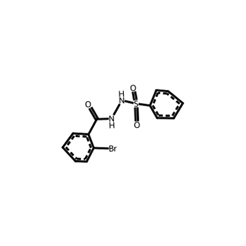 O=C(NNS(=O)(=O)c1ccccc1)c1ccccc1Br